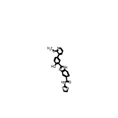 COc1ncccc1-c1ccc(O)c(-c2nc3cc(C(=O)NC4=NCCS4)ccc3[nH]2)c1